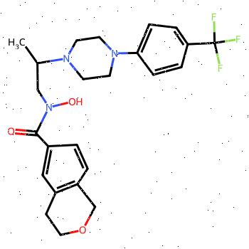 CC(CN(O)C(=O)c1ccc2c(c1)CCOC2)N1CCN(c2ccc(C(F)(F)F)cc2)CC1